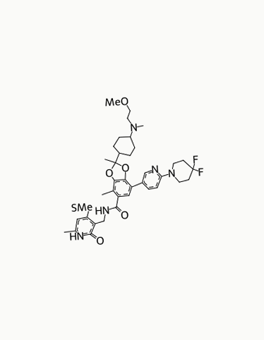 COCCN(C)C1CCC(C2(C)Oc3c(-c4ccc(N5CCC(F)(F)CC5)nc4)cc(C(=O)NCc4c(SC)cc(C)[nH]c4=O)c(C)c3O2)CC1